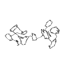 c1ccc(-c2nc(-c3ccc(-c4ccc5c(c4)C4(c6ccccc6S5)c5ccccc5-c5ccccc54)cc3)cc(-c3ccccc3-c3ccccc3)n2)cc1